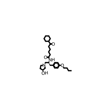 CCCCOc1ccc(C[C@@H](CN2CC[C@H](O)C2)NC(=O)CCCCC(=O)C2CCCCC2)cc1